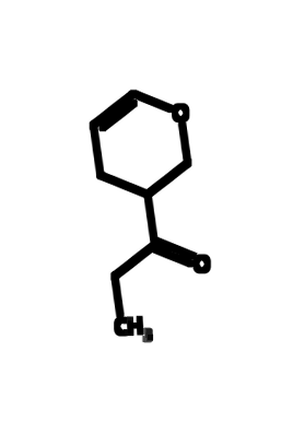 CCC(=O)C1CC=COC1